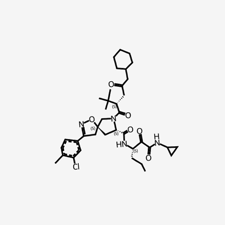 CCC[C@H](NC(=O)[C@@H]1C[C@]2(CC(c3ccc(C)c(Cl)c3)=NO2)CN1C(=O)[C@@H](CC(=O)CC1CCCCC1)C(C)(C)C)C(=O)C(=O)NC1CC1